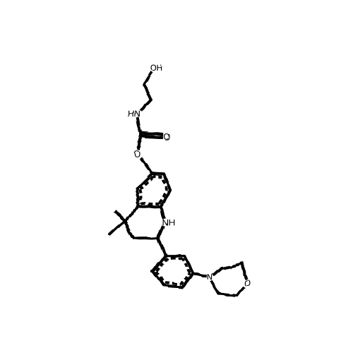 CC1(C)CC(c2cccc(N3CCOCC3)c2)Nc2ccc(OC(=O)NCCO)cc21